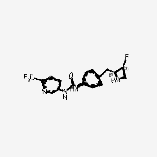 O=C(Nc1ccc(C[C@@H]2NC[C@@H]2F)cc1)Nc1ccc(C(F)(F)F)nc1